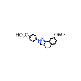 COc1ccc2c(c1)-c1nn(-c3ccc(C(=O)O)cc3)cc1CC2